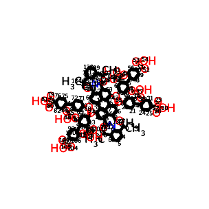 CC(C)c1cccc(C(C)C)c1N1C(=O)c2cc(Oc3ccc(-c4ccc(S(=O)(=O)O)cc4)c(S(=O)(=O)O)c3)c3c4c(Oc5ccc(-c6ccc(S(=O)(=O)O)cc6)c(S(=O)(=O)O)c5)cc5c6c(cc(Oc7ccc(-c8ccc(S(=O)(=O)O)cc8)c(S(=O)(=O)O)c7)c(c7c(Oc8ccc(-c9ccc(S(=O)(=O)O)cc9)c(S(=O)(=O)O)c8)cc(c2c37)C1=O)c64)C(=O)N(c1c(C(C)C)cccc1C(C)C)C5=O